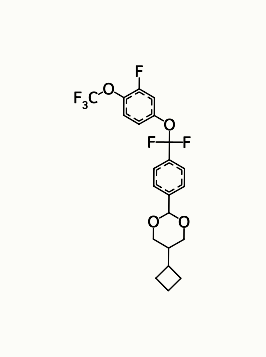 Fc1cc(OC(F)(F)c2ccc(C3OCC(C4CCC4)CO3)cc2)ccc1OC(F)(F)F